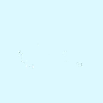 CCOC(=O)CCc1ccc(C#CC2(O)CN3CCC2CC3)c(C=O)c1